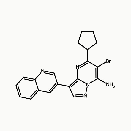 Nc1c(Br)c(C2CCCC2)nc2c(-c3cnc4ccccc4c3)cnn12